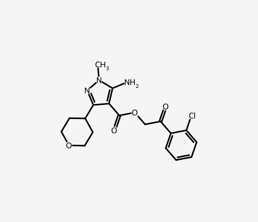 Cn1nc(C2CCOCC2)c(C(=O)OCC(=O)c2ccccc2Cl)c1N